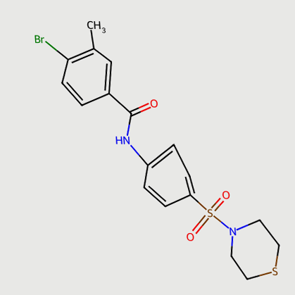 Cc1cc(C(=O)Nc2ccc(S(=O)(=O)N3CCSCC3)cc2)ccc1Br